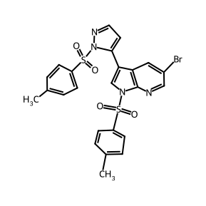 Cc1ccc(S(=O)(=O)n2nccc2-c2cn(S(=O)(=O)c3ccc(C)cc3)c3ncc(Br)cc23)cc1